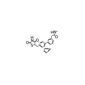 CNC(=O)Cc1cccc(-c2ccc(CC3SC(=O)NC3=O)cc2)c1.c1cc2cc-2c1